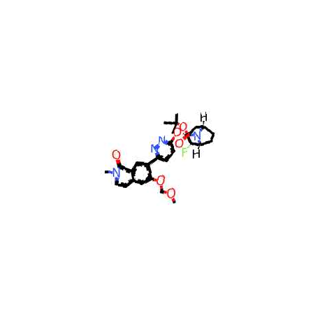 COCOc1cc2ccn(C)c(=O)c2cc1-c1ccc(O[C@@H]2C[C@H]3CC[C@@H]([C@@H]2F)N3C(=O)OC(C)(C)C)nn1